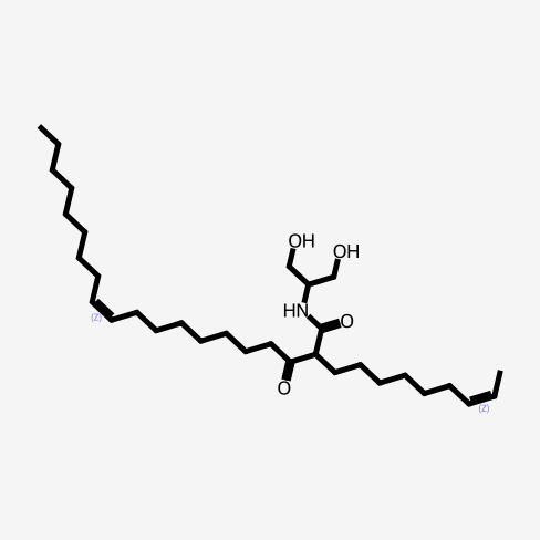 C/C=C\CCCCCCC(C(=O)CCCCCCC/C=C\CCCCCCCC)C(=O)NC(CO)CO